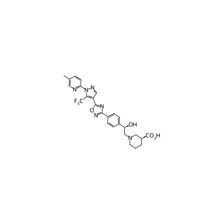 Cc1ccc(-n2ncc(-c3nc(-c4ccc([C@@H](O)CN5CCC[C@H](C(=O)O)C5)cc4)no3)c2C(F)(F)F)nc1